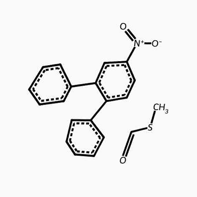 CSC=O.O=[N+]([O-])c1ccc(-c2ccccc2)c(-c2ccccc2)c1